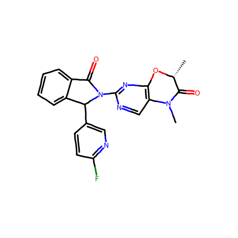 C[C@H]1Oc2nc(N3C(=O)c4ccccc4C3c3ccc(F)nc3)ncc2N(C)C1=O